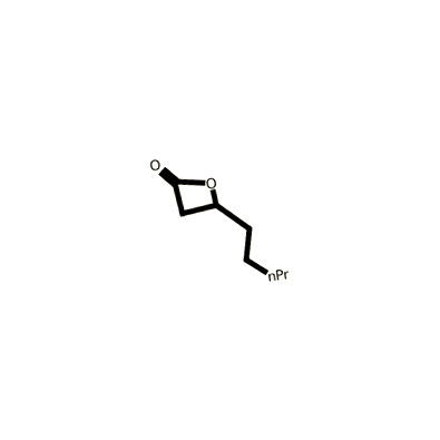 CCCCCC1CC(=O)O1